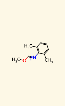 CO/C=N/c1c(C)cccc1C